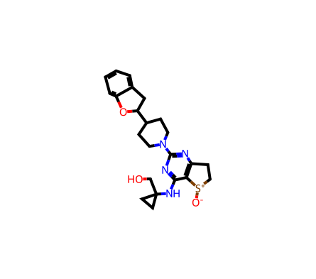 [O-][S+]1CCc2nc(N3CCC(C4Cc5ccccc5O4)CC3)nc(NC3(CO)CC3)c21